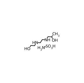 CC(O)CNCCNCCO.NS(=O)(=O)O